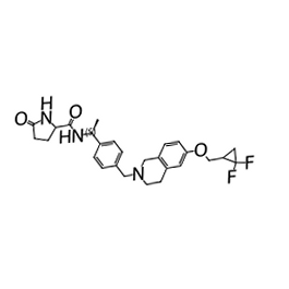 C[C@H](NC(=O)C1CCC(=O)N1)c1ccc(CN2CCc3cc(OCC4CC4(F)F)ccc3C2)cc1